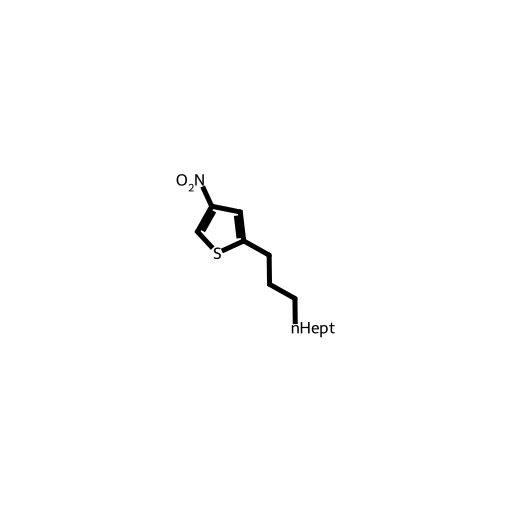 CCCCCCCCCCc1cc([N+](=O)[O-])cs1